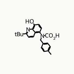 Cc1ccc(CN(C(=O)O)c2ccc(O)c3nc(C(C)(C)C)ccc23)cc1